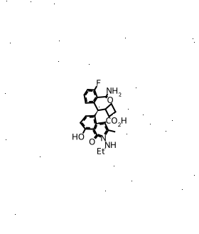 CCNn1c(C)c(C(=O)O)c2c([C@@H](c3cccc(F)c3C(N)=O)C3CCC3)ccc(O)c2c1=O